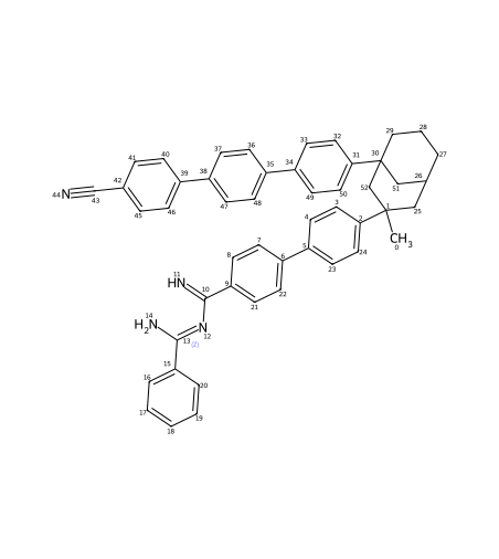 CC1(c2ccc(-c3ccc(C(=N)/N=C(\N)c4ccccc4)cc3)cc2)CC2CCCC(c3ccc(-c4ccc(-c5ccc(C#N)cc5)cc4)cc3)(C2)C1